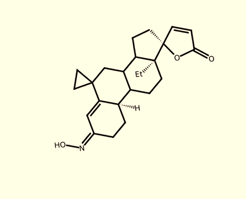 CC[C@]12CCC3C(CC4(CC4)C4=CC(=NO)CC[C@@H]43)C1CC[C@@]21C=CC(=O)O1